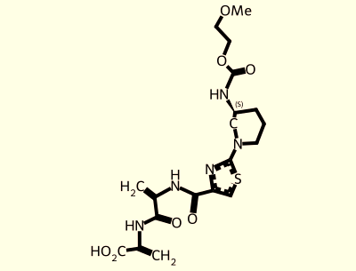 C=C(NC(=O)C(=C)NC(=O)c1csc(N2CCC[C@H](NC(=O)OCCOC)C2)n1)C(=O)O